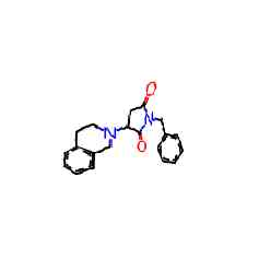 O=C1CC(N2CCc3ccccc3C2)C(=O)N1Cc1ccccc1